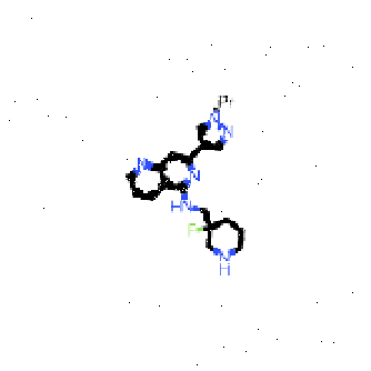 CC(C)n1cc(-c2cc3ncccc3c(NCC3(F)CCCNC3)n2)cn1